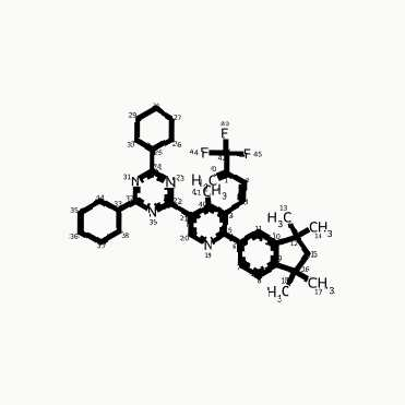 C=C(/C=C\c1c(-c2ccc3c(c2)C(C)(C)CC3(C)C)ncc(-c2nc(C3CCCCC3)nc(C3CCCCC3)n2)c1C)C(F)(F)F